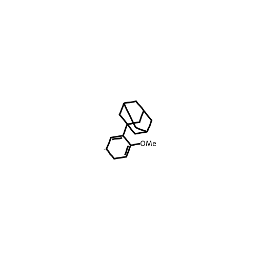 COC1=CC[CH]C=C1C12CC3CC(CC(C3)C1)C2